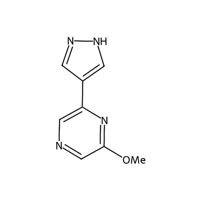 COc1cncc(-c2cn[nH]c2)n1